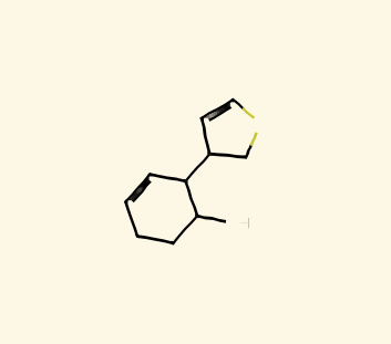 CC1CCC=CC1C1C=CSC1